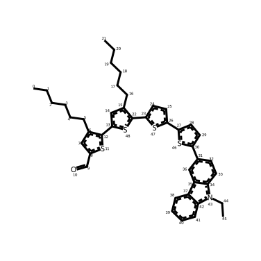 CCCCCCc1cc(C=O)sc1-c1cc(CCCCCC)c(-c2ccc(-c3ccc(-c4ccc5c(c4)c4ccccc4n5CC)s3)s2)s1